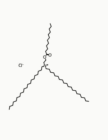 CCCCCCCCCCCCCCCCCCCC[N+](C)(CCCCCCCCCCCCCCCCCCCC)CCOC(=O)CCCCCCCCCCC.[Cl-]